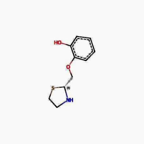 Oc1ccccc1OC[C@@H]1NCCS1